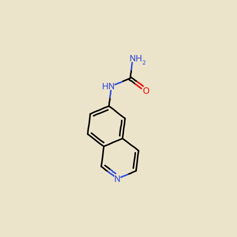 NC(=O)Nc1ccc2cnccc2c1